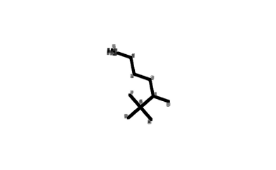 CC(CCCS)C(C)(C)C